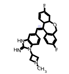 CN1CC(n2c(=N)[nH]c3cc(/C=C4\c5ccc(F)cc5COC5C=C(F)C=CC45)ccc32)C1